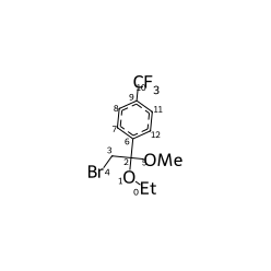 CCOC(CBr)(OC)c1ccc(C(F)(F)F)cc1